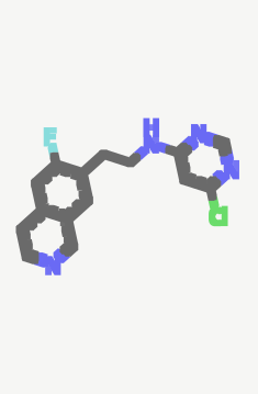 Fc1cc2ccncc2cc1CCNc1cc(Cl)ncn1